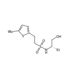 CC[C@@H](CO)NS(=O)(=O)CCc1ccc(C(C)(C)C)s1